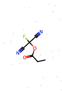 CCC(=O)OC(F)(C#N)C#N